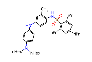 CCCCCCN(CCCCCC)c1ccc(Nc2ccc(NS(=O)(=O)c3c(C(C)C)cc(C(C)C)cc3C(C)C)c(C)c2)cc1